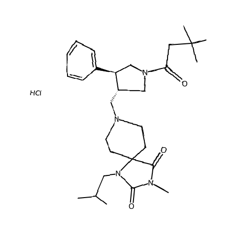 CC(C)CN1C(=O)N(C)C(=O)C12CCN(C[C@H]1CN(C(=O)CC(C)(C)C)C[C@@H]1c1ccccc1)CC2.Cl